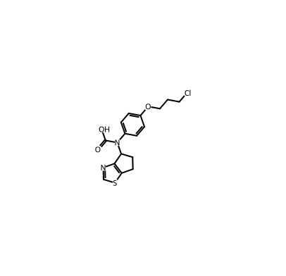 O=C(O)N(c1ccc(OCCCCl)cc1)C1CCc2scnc21